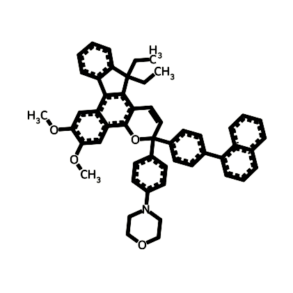 CCC1(CC)c2ccccc2-c2c1c1c(c3cc(OC)c(OC)cc23)OC(c2ccc(-c3cccc4ccccc34)cc2)(c2ccc(N3CCOCC3)cc2)C=C1